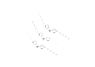 CCCCCCCCCc1ccc(OP(=O)([O-])c2ccc(CCCCCCCCC)cc2)cc1.CCCCCCCCCc1ccc(OP(=O)([O-])c2ccc(CCCCCCCCC)cc2)cc1.CCCCCCCCCc1ccc(OP(=O)([O-])c2ccc(CCCCCCCCC)cc2)cc1.[Cr+3]